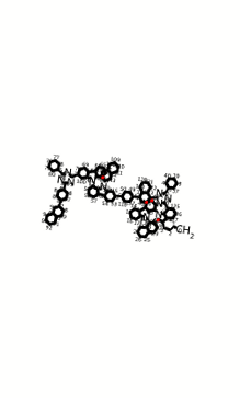 C=C/C=C\c1c(C)n(-c2cccc3c4ccccc4n(-c4cccc5ccccc45)c23)c2c(-c3nc(-c4ccccc4)nc(-c4ccc(-c5ccc(-c6ccc7c8cccc(-n9c%10ccccc%10c%10ccc(-c%11nc(-c%12ccccc%12)nc(-c%12ccc(-c%13ccc%14ccccc%14c%13)cc%12)n%11)cc%109)c8n(-c8ccc9ccccc9c8)c7c6)cc5)c5ccccc45)n3)cccc12